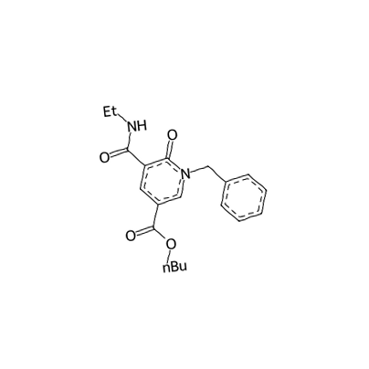 CCCCOC(=O)c1cc(C(=O)NCC)c(=O)n(Cc2ccccc2)c1